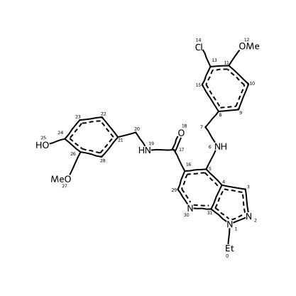 CCn1ncc2c(NCc3ccc(OC)c(Cl)c3)c(C(=O)NCc3ccc(O)c(OC)c3)cnc21